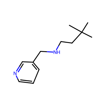 CC(C)(C)CCNCc1cccnc1